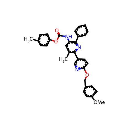 COc1ccc(COc2ccc(-c3nc(-c4ccccc4)c(NC(=O)Oc4ccc(C)cc4)cc3C)cn2)cc1